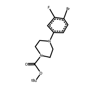 CC(C)(C)OC(=O)N1CCN(c2ccc(Br)c(F)c2)CC1